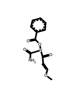 COC=CC(=O)N(OC(=O)c1ccccc1)C(N)=O